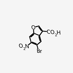 O=C(O)c1coc2cc([N+](=O)[O-])c(Br)cc12